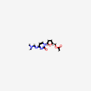 CC(=O)OC[C@@H]1CC[C@H](n2ccc(/N=C/N(C)C)nc2=O)O1